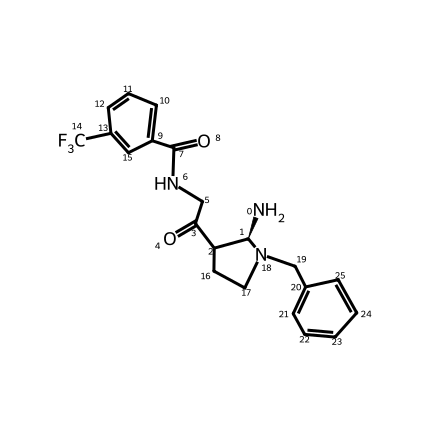 N[C@@H]1C(C(=O)CNC(=O)c2cccc(C(F)(F)F)c2)CCN1Cc1ccccc1